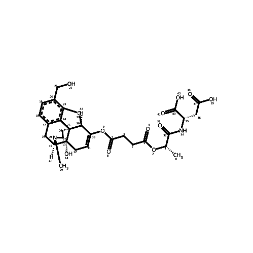 C[C@H](OC(=O)CCC(=O)OC1=CC[C@@]2(O)[C@H]3Cc4ccc(CO)c5c4[C@@]2(CCN3C)[C@H]1O5)C(=O)N[C@@H](CC(=O)O)C(=O)O